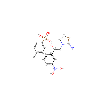 Cc1ccc(S(=O)(=O)O)cc1.N=C1SCCN1CC(O)c1cccc([N+](=O)[O-])c1